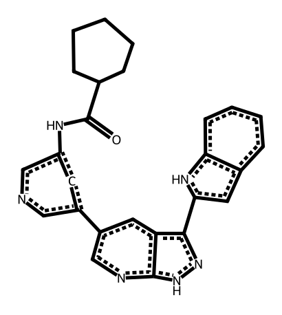 O=C(Nc1cncc(-c2cnc3[nH]nc(-c4cc5ccccc5[nH]4)c3c2)c1)C1CCCCC1